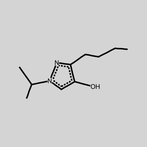 CCCCc1nn(C(C)C)cc1O